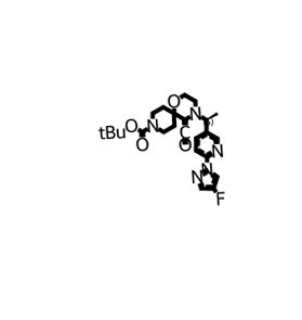 C[C@@H](c1ccc(-n2cc(F)cn2)nc1)N1CCOC2(CCN(C(=O)OC(C)(C)C)CC2)C1=C=O